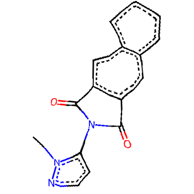 Cn1nccc1N1C(=O)c2cc3ccccc3cc2C1=O